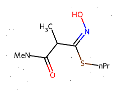 CCCSC(=NO)C(C)C(=O)NC